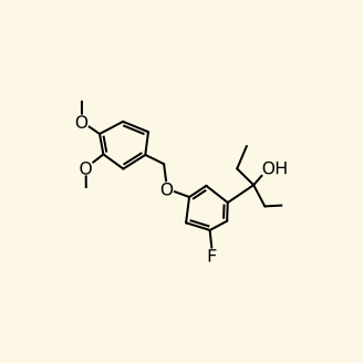 CCC(O)(CC)c1cc(F)cc(OCc2ccc(OC)c(OC)c2)c1